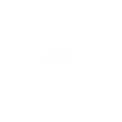 CCCCCCCCC(=O)O[C@H]1CC[C@@]2(C)C(=CC[C@@H]3C2CC[C@@]2(C)C3CC[C@@H]2C(C)CCCC(C)C)C1